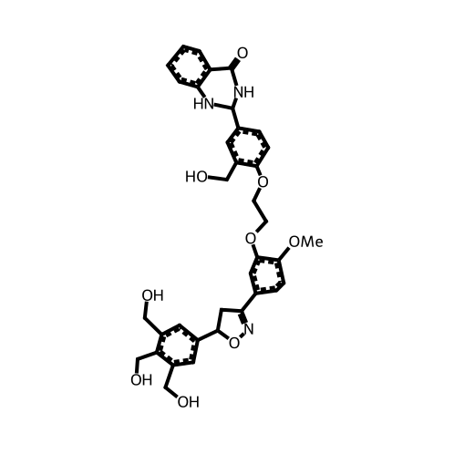 COc1ccc(C2=NOC(c3cc(CO)c(CO)c(CO)c3)C2)cc1OCCOc1ccc(C2NC(=O)c3ccccc3N2)cc1CO